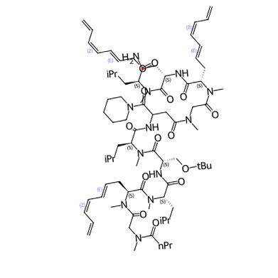 C=C/C=C\C=C\COC[C@H](NC(=O)[C@H](C/C=C/C=C\C=C)N(C)C(=O)CN(C)C(=O)CC(NC(=O)[C@H](CC(C)C)N(C)C(=O)[C@H](COC(C)(C)C)NC(=O)[C@H](CC(C)C)N(C)C(=O)[C@H](C/C=C/C=C\C=C)N(C)C(=O)CN(C)C(=O)CCC)C(=O)N1CCCCC1)C(=O)N(C)[C@@H](CC(C)C)C(N)=O